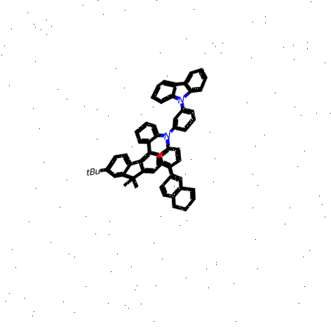 CC(C)(C)c1ccc2c(c1)C(C)(C)c1cccc(-c3ccccc3N(c3ccc(-c4ccc5c(c4)C=CCC5)cc3)c3cccc(-n4c5ccccc5c5ccccc54)c3)c1-2